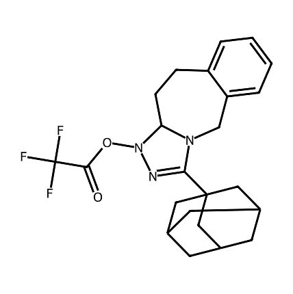 O=C(ON1N=C(C23CC4CC(CC(C4)C2)C3)N2Cc3ccccc3CCC12)C(F)(F)F